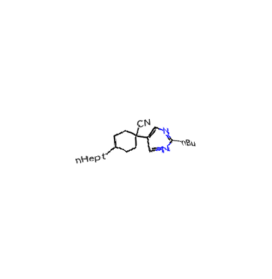 CCCCCCCC1CCC(C#N)(c2cnc(CCCC)nc2)CC1